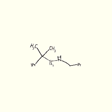 CC(C)CN[SiH2]C(C)(C)C(C)C